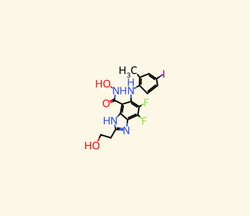 Cc1cc(I)ccc1Nc1c(F)c(F)c2nc(CCO)[nH]c2c1C(=O)NO